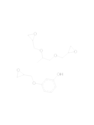 CC(COCC1CO1)OCC1CO1.Oc1cccc(OCC2CO2)c1